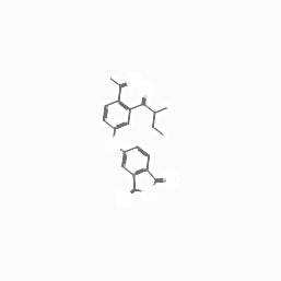 CCC(C)C(=O)c1cc(Oc2ccc3c(c2)C(=O)OC3=O)ccc1C(C)=O